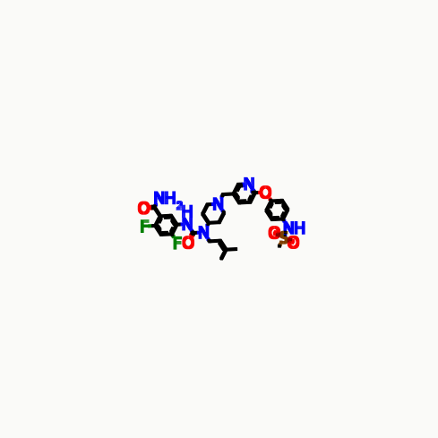 CC(C)=CCN(C(=O)Nc1cc(C(N)=O)c(F)cc1F)C1CCN(Cc2ccc(Oc3ccc(NS(C)(=O)=O)cc3)nc2)CC1